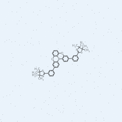 CC1(C)N=C(c2cccc(-c3ccc4c(c3)Oc3cccc5c3B4c3ccc(-c4cccc(C6=NC(C)(C)C(C)(C)S6)c4)cc3O5)c2)SC1(C)C